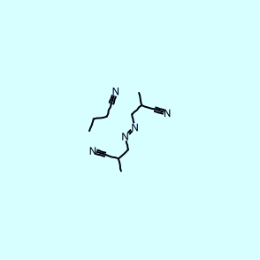 CC(C#N)CN=NCC(C)C#N.CCCC#N